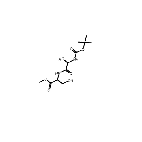 COC(=O)C(CO)NC(=O)C(O)NC(=O)OC(C)(C)C